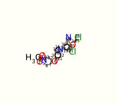 CS(=O)(=O)N1CCCC(Oc2ccc3c(ccn3-c3cc(Cl)c(OCCCl)c(C#N)c3)c2)CC1